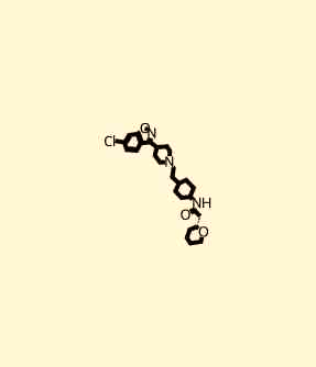 O=C(C[C@H]1CCCCO1)NC1CCC(CCN2CCC(c3noc4cc(Cl)ccc34)CC2)CC1